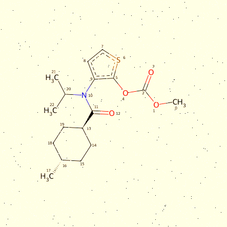 COC(=O)Oc1sccc1N(C(=O)[C@H]1CC[C@H](C)CC1)C(C)C